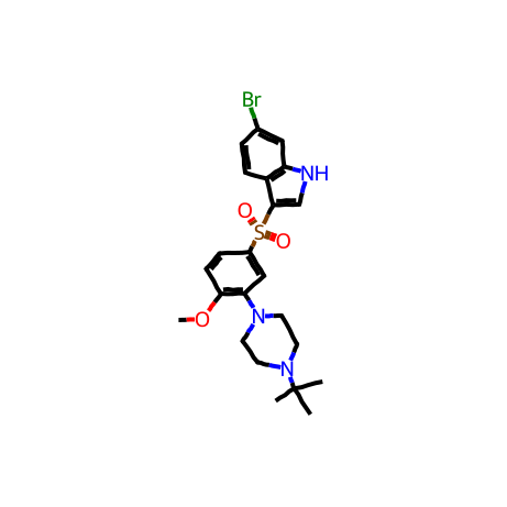 COc1ccc(S(=O)(=O)c2c[nH]c3cc(Br)ccc23)cc1N1CCN(C(C)(C)C)CC1